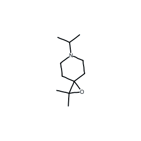 CC(C)N1CCC2(CC1)OC2(C)C